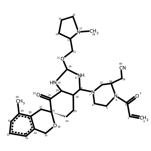 C=CC(=O)N1CCN(C2NC(OCC3CCCN3C)NC3C(=O)[C@]4(CCC32)Cc2c(C)cccc2CO4)CC1CC#N